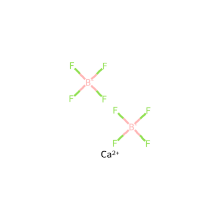 F[B-](F)(F)F.F[B-](F)(F)F.[Ca+2]